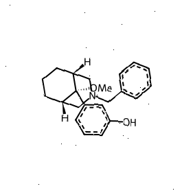 CO[C@@]1(c2cccc(O)c2)[C@@H]2CCC[C@H]1CN(Cc1ccccc1)C2